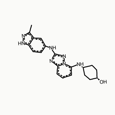 Cc1n[nH]c2ccc(Nc3nc4cccc(N[C@H]5CC[C@H](O)CC5)n4n3)cc12